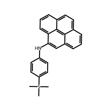 CS(C)(C)c1ccc(Nc2cc3cccc4ccc5cccc2c5c43)cc1